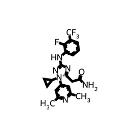 Cc1cc([N+]2(C3CC3)N=C(Nc3cccc(C(F)(F)F)c3F)N=C2CC(N)=O)cc(C)n1